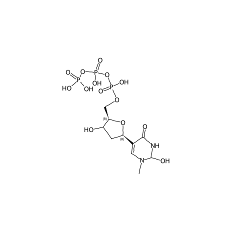 CN1C=C([C@H]2CC(O)[C@@H](COP(=O)(O)OP(=O)(O)OP(=O)(O)O)O2)C(=O)NC1O